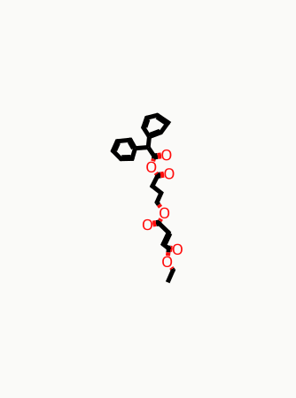 CCOC(=O)C=CC(=O)OCCCC(=O)OC(=O)C(c1ccccc1)c1ccccc1